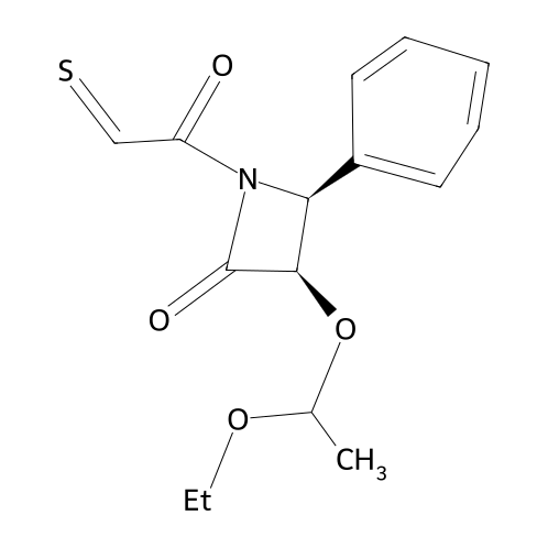 CCOC(C)O[C@H]1C(=O)N(C(=O)C=S)[C@H]1c1ccccc1